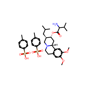 COc1cc2c(cc1OC)[C@H]1C[C@@H](OC(=O)C(N)C(C)C)[C@H](CC(C)C)CN1CC2.Cc1ccc(S(=O)(=O)O)cc1.Cc1ccc(S(=O)(=O)O)cc1